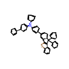 c1ccc(-c2ccc(N(c3ccccc3)c3ccc(-c4ccc5c(c4)-c4sc6ccccc6c4C5(c4ccccc4)c4ccccc4)cc3)cc2)cc1